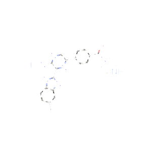 Cc1ccc2nc(-c3nc(-c4ccc(C(=O)N5CCNCC5)cc4)cnc3N)[nH]c2c1